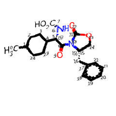 CC1CCC([C@H](NC(=O)O)C(=O)N2C(=O)OC[C@@H]2Cc2ccccc2)CC1